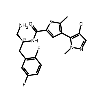 Cc1sc(C(=O)N[C@H](CN)Cc2cc(F)ccc2F)cc1-c1c(Cl)cnn1C